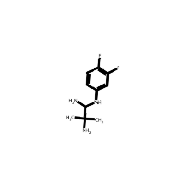 CC(C)(N)C(N)Nc1ccc(F)c(F)c1